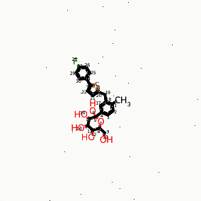 Cc1ccc(C2(O)OC(CO)C(O)C(O)C2O)cc1Cc1ccc(-c2ccc(F)cc2)s1